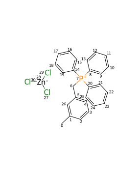 Cc1cccc(C[P+](c2ccccc2)(c2ccccc2)c2ccccc2)c1.[Cl][Zn-]([Cl])[Cl]